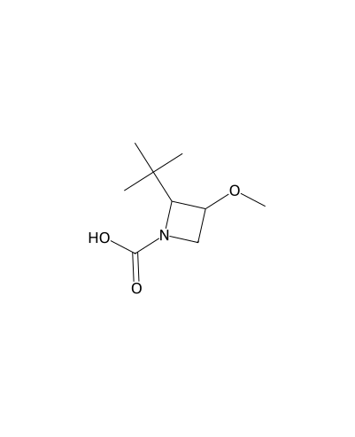 COC1CN(C(=O)O)C1C(C)(C)C